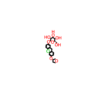 OC[C@H]1OC(Oc2ccc(Cl)c(Cc3ccc(O[C@H]4CCOC4)cc3)c2)[C@H](O)[C@@H](O)[C@@H]1O